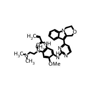 C=CC(=O)Nc1cc(Nc2nccc(-c3c4n(c5ccccc35)CCOC4)n2)c(OC)cc1N(C)CCN(C)C